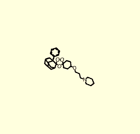 c1ccc(C23CC4CC(CC(C4)C24OOC2(CCC(OCCCN5CCCCC5)CC2)O4)C3)cc1